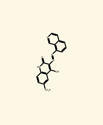 O=c1[nH]c2ccc(S(=O)(=O)O)cc2c(O)c1/N=N/c1cccc2ccncc12